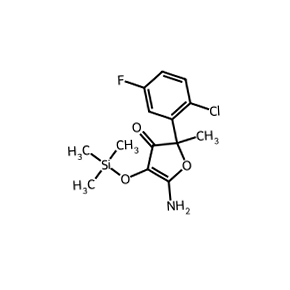 CC1(c2cc(F)ccc2Cl)OC(N)=C(O[Si](C)(C)C)C1=O